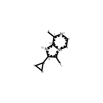 Cc1nccn2c(I)c(C3CC3)nc12